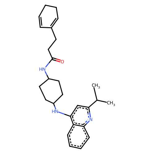 CC(C)c1cc(NC2CCC(NC(=O)CCC3=CCCC=C3)CC2)c2ccccc2n1